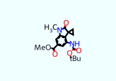 COC(=O)c1cc(NC(=O)OC(C)(C)C)c2c(c1)N(C)C(=O)C21CC1